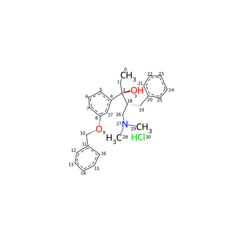 CC[C@@](O)(c1cccc(OCc2ccccc2)c1)[C@H](Cc1ccccc1)CN(C)C.Cl